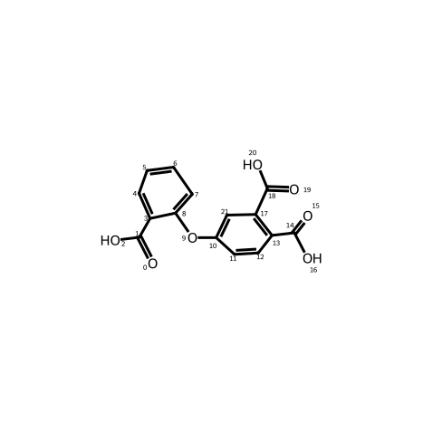 O=C(O)c1ccccc1Oc1ccc(C(=O)O)c(C(=O)O)c1